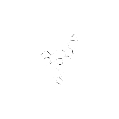 COc1ccccc1C(=O)n1nc(-c2cccn(Cc3ccoc3)c2=O)cc1NCc1ccc(Cl)s1